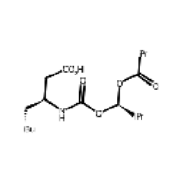 CC[C@@H](C)C[C@@H](CC(=O)O)NC(=O)O[C@@H](OC(=O)C(C)C)C(C)C